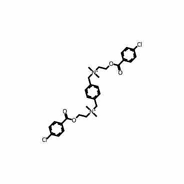 C[N+](C)(CCOC(=O)c1ccc(Cl)cc1)Cc1ccc(C[N+](C)(C)CCOC(=O)c2ccc(Cl)cc2)cc1